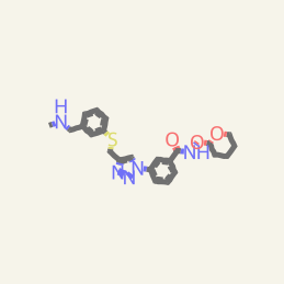 CNCc1cccc(SCc2cn(-c3cccc(C(=O)NOC4CCCCO4)c3)nn2)c1